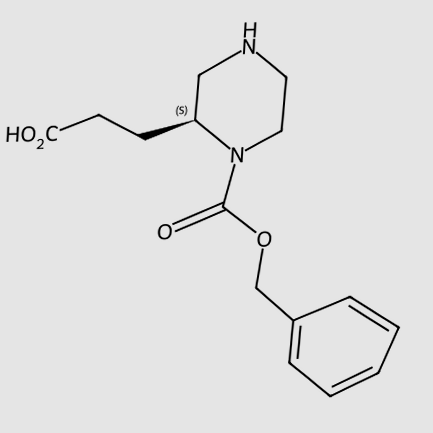 O=C(O)CC[C@H]1CNCCN1C(=O)OCc1ccccc1